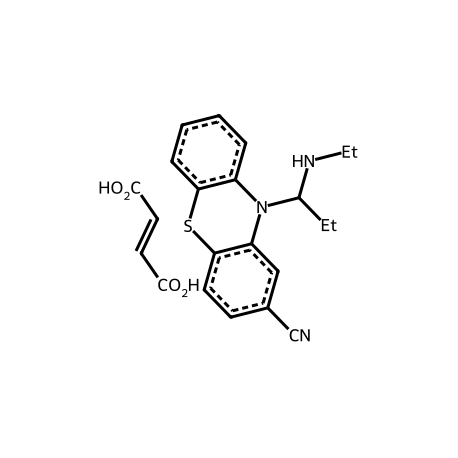 CCNC(CC)N1c2ccccc2Sc2ccc(C#N)cc21.O=C(O)C=CC(=O)O